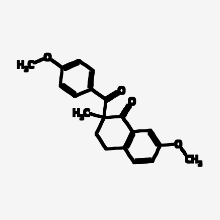 COc1ccc(C(=O)C2(C)CCc3ccc(OC)cc3C2=O)cc1